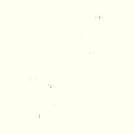 CCOC(=O)Cc1cccc(N(C)C(=O)CCl)c1